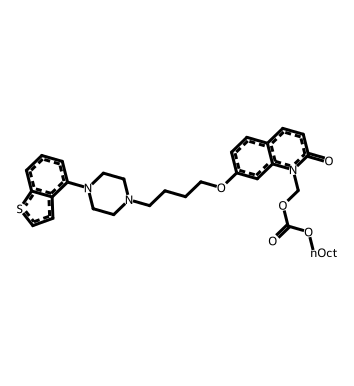 CCCCCCCCOC(=O)OCn1c(=O)ccc2ccc(OCCCCN3CCN(c4cccc5sccc45)CC3)cc21